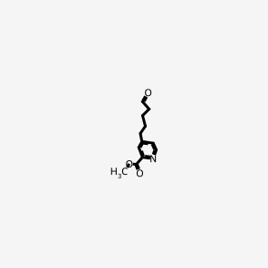 COC(=O)c1cc(CCCCC=O)ccn1